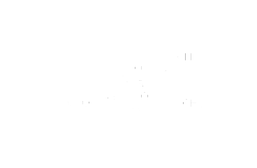 COc1cccc2cc(S(=O)(=O)c3cc(C)cc(C)c3)c(=O)oc12